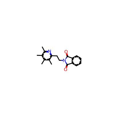 Cc1nc(CCN2C(=O)c3ccccc3C2=O)c(C)c(C)c1C